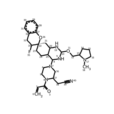 C=CC(=O)N1CCN(C2NC(OCC3CCCN3C)NC3C[C@@]4(CCC32)Oc2ccccc2CC4F)CC1CC#N